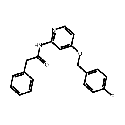 O=C(Cc1ccccc1)Nc1cc(OCc2ccc(F)cc2)ccn1